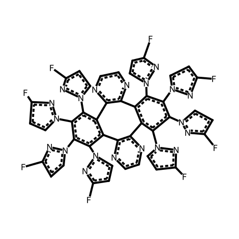 Fc1ccn(-c2c3c(c(-n4ccc(F)n4)c(-n4ccc(F)n4)c2-n2ccc(F)n2)-c2nccnc2-c2c(c(-n4ccc(F)n4)c(-n4ccc(F)n4)c(-n4ccc(F)n4)c2-n2ccc(F)n2)-c2nccnc2-3)n1